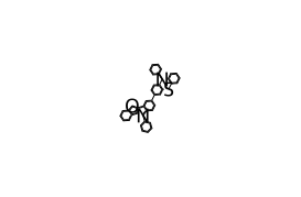 c1ccc(N2c3ccccc3Sc3cc(-c4ccc5c(c4)c4oc6ccccc6c4n5-c4ccccc4)ccc32)cc1